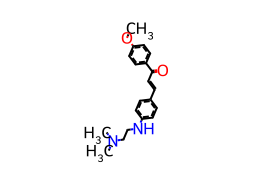 COc1ccc(C(=O)C=Cc2ccc(NCCN(C)C)cc2)cc1